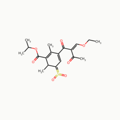 CCOC=C(C(C)=O)C(=O)C1=CC(=S(=O)=O)C(C)C(C(=O)OC(C)C)=C1C